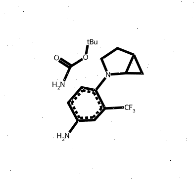 CC(C)(C)OC(N)=O.Nc1ccc(N2CCC3CC32)c(C(F)(F)F)c1